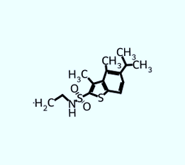 [CH2]CNS(=O)(=O)c1sc2ccc(C(C)C)c(C)c2c1C